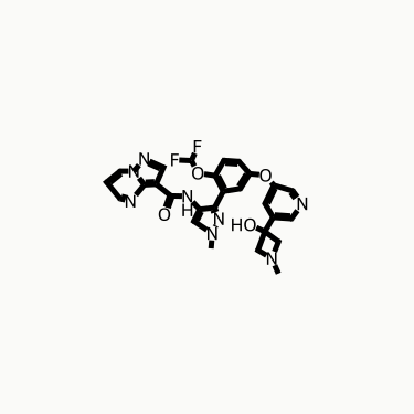 CN1CC(O)(c2cncc(Oc3ccc(OC(F)F)c(-c4nn(C)cc4NC(=O)c4cnn5cccnc45)c3)c2)C1